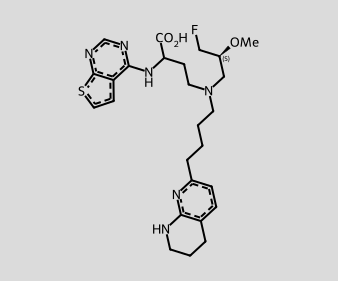 CO[C@H](CF)CN(CCCCc1ccc2c(n1)NCCC2)CCC(Nc1ncnc2sccc12)C(=O)O